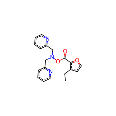 CCc1ccoc1C(=O)ON(Cc1ccccn1)Cc1ccccn1